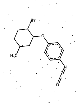 CC1CCC(C(C)C)C(Oc2ccc(N=C=O)cc2)C1